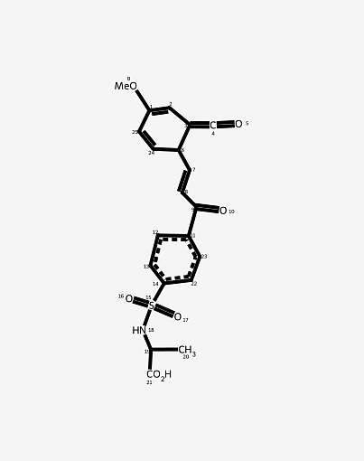 COC1=CC(=C=O)C(/C=C/C(=O)c2ccc(S(=O)(=O)NC(C)C(=O)O)cc2)C=C1